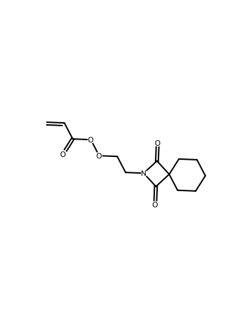 C=CC(=O)OOCCN1C(=O)C2(CCCCC2)C1=O